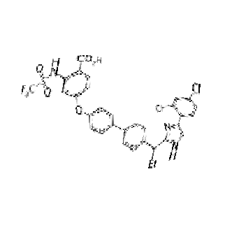 CCC(c1ccc(-c2ccc(Oc3ccc(C(=O)O)c(NS(=O)(=O)C(F)(F)F)c3)cc2)cc1)c1nc(-c2ccc(Cl)cc2Cl)c[nH]1